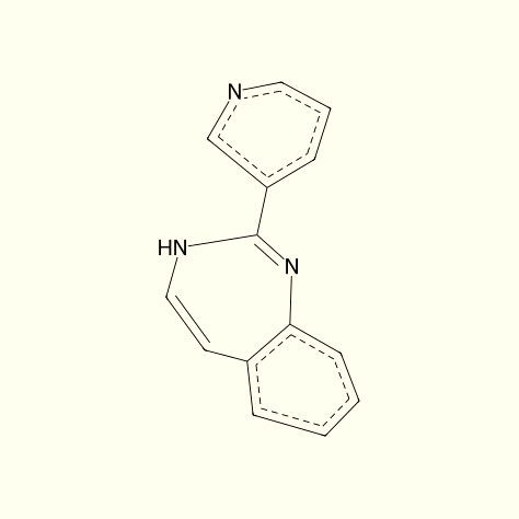 C1=Cc2ccccc2N=C(c2cccnc2)N1